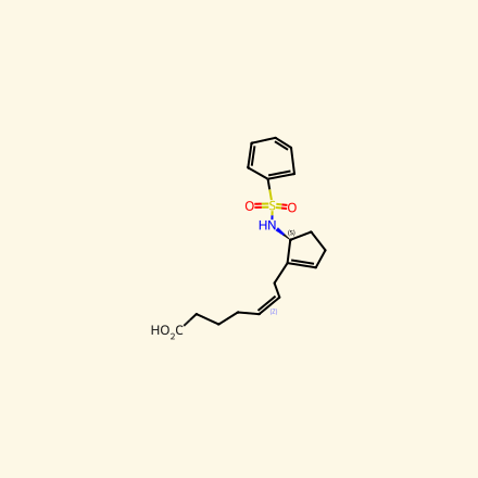 O=C(O)CCC/C=C\CC1=CCC[C@@H]1NS(=O)(=O)c1ccccc1